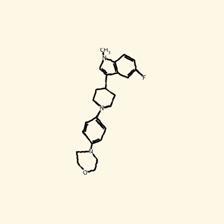 Cn1cc(C2CCN(c3ccc(N4CCOCC4)cc3)CC2)c2cc(F)ccc21